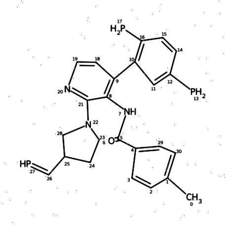 Cc1ccc(C(=O)Nc2c(-c3cc(P)ccc3P)ccnc2N2CCC(C=P)C2)cc1